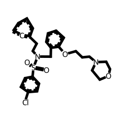 O=S(=O)(c1ccc(Cl)cc1)N(CCc1ccccc1)Cc1ccccc1OCCCN1CCOCC1